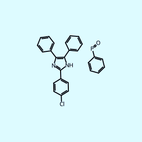 Clc1ccc(-c2nc(-c3ccccc3)c(-c3ccccc3)[nH]2)cc1.O=Pc1ccccc1